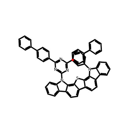 c1ccc(-c2ccc(-c3nc(-c4ccc(-c5ccccc5)cc4)nc(-n4c5ccccc5c5ccc6c7ccc8c9ccccc9n(-c9ccccc9)c8c7sc6c54)n3)cc2)cc1